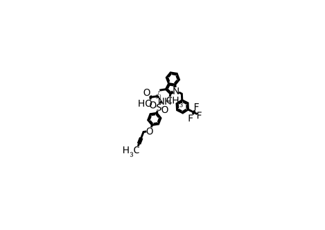 CC#CCOc1ccc(S(=O)(=O)N[C@@H](Cc2c(C)n(Cc3cccc(C(F)(F)F)c3)c3ccccc23)C(=O)O)cc1